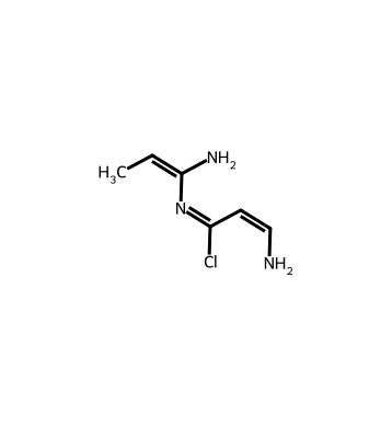 C\C=C(N)/N=C(Cl)\C=C/N